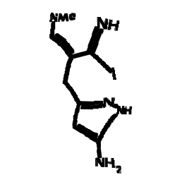 CN/C=C(/Cc1cc(N)[nH]n1)C(=N)I